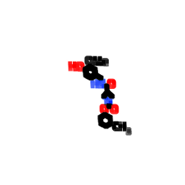 COc1cc(CNC(=O)C2CN(C(=O)O[C@H]3CCC[C@@H](C)C3)C2)ccc1O